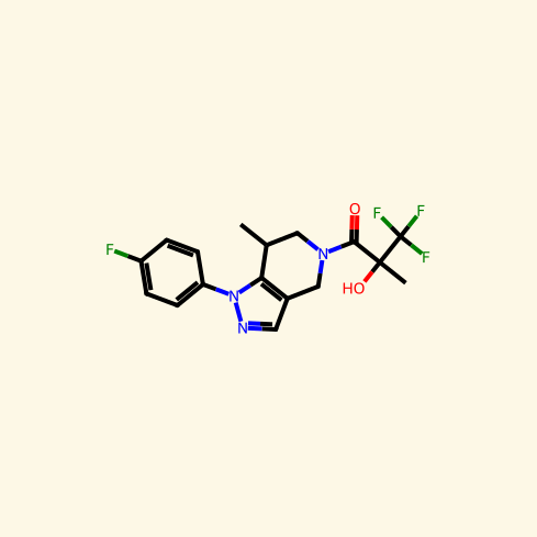 CC1CN(C(=O)C(C)(O)C(F)(F)F)Cc2cnn(-c3ccc(F)cc3)c21